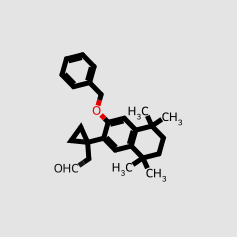 CC1(C)CCC(C)(C)c2cc(C3(CC=O)CC3)c(OCc3ccccc3)cc21